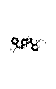 COc1ncccc1-c1cnc2ccc(N[C@@H](C)c3ccccc3)nn12